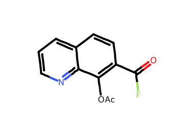 CC(=O)Oc1c(C(=O)F)ccc2cccnc12